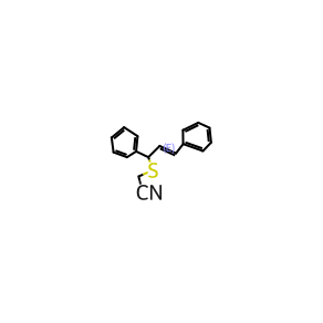 N#CCSC(/C=C/c1ccccc1)c1ccccc1